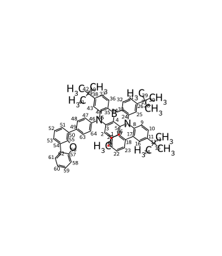 Cc1cc2c3c(c1)N(c1ccc(C(C)(C)C)cc1-c1ccccc1)c1cc(C(C)(C)C)ccc1B3c1ccc(C(C)(C)C)cc1N2c1ccc(-c2cccc3c2oc2ccccc23)cc1